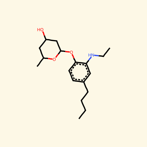 CCCCc1ccc(OC2CC(O)CC(C)O2)c(NCC)c1